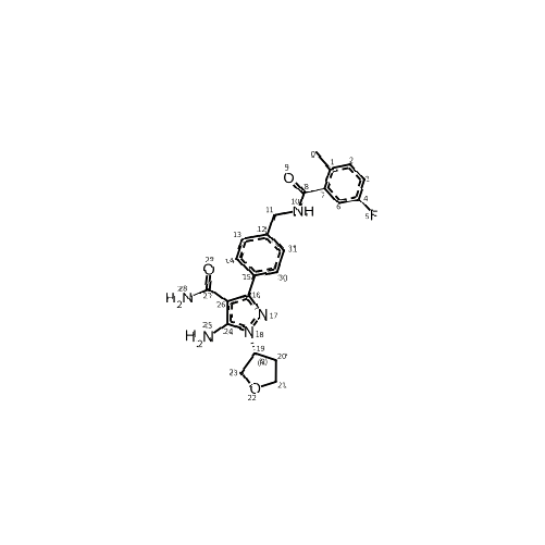 Cc1ccc(F)cc1C(=O)NCc1ccc(-c2nn([C@@H]3CCOC3)c(N)c2C(N)=O)cc1